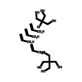 C=CC(=O)O.C=CC(=O)O.C=CC(=O)O.C=CC(=O)O.CCC(CO)(CO)CO.OCC(CO)(CO)CO